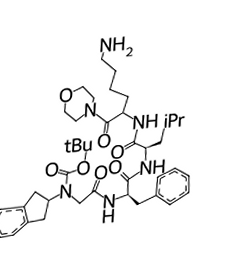 CC(C)C[C@@H](NC(=O)[C@@H](Cc1ccccc1)NC(=O)CN(C(=O)OC(C)(C)C)C1Cc2ccccc2C1)C(=O)NC(CCCCN)C(=O)N1CCOCC1